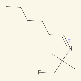 CCCCC/C=N\C(C)(C)CF